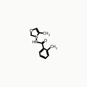 CC1=COCN1NC(=O)c1ccccc1C